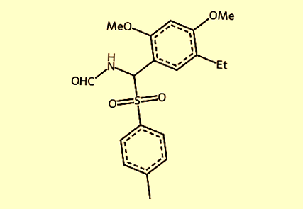 CCc1cc(C(NC=O)S(=O)(=O)c2ccc(C)cc2)c(OC)cc1OC